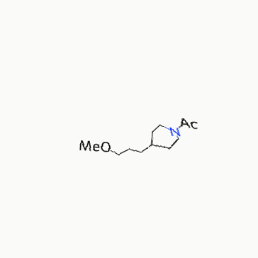 COCCCC1CCN(C(C)=O)CC1